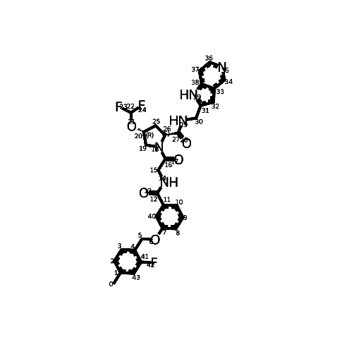 Cc1ccc(COc2cccc(C(=O)NCC(=O)N3C[C@H](OC(F)F)C[C@H]3C(=O)NCc3cc4cnccc4[nH]3)c2)c(F)c1